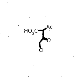 CC(=O)C(C(=O)O)C(=O)CCl